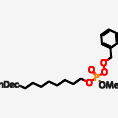 CCCCCCCCCCCCCCCCCCOP(=O)(OC)OOCc1ccccc1